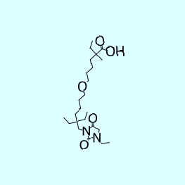 CCN1CC(=O)N(CC(CC)(CC)CCCCOCCCCC(C)(CC)C(=O)O)C1=O